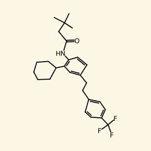 CC(C)(C)CC(=O)Nc1ccc(CCc2ccc(C(F)(F)F)cc2)cc1C1CCCCC1